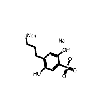 CCCCCCCCCCCCc1cc(O)c(S(=O)(=O)[O-])cc1O.[Na+]